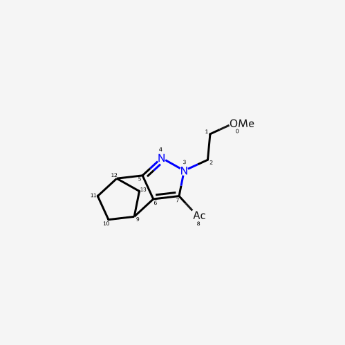 COCCn1nc2c(c1C(C)=O)C1CCC2C1